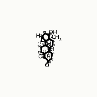 C[C@]12CC[C@@H]3[C@H]4CCC(=O)C5OC54CC[C@H]3[C@@]13C[C@H]3C[C@@H]2O